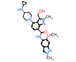 COc1cc2nn(C)cc2cc1NC(=O)c1ccc(N2CCC(NC3CC3)CC2)c2c(CO)n(C)nc12